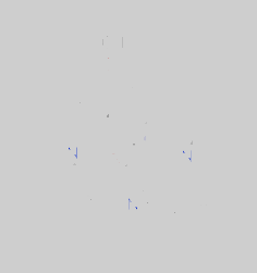 COCC/C=C(\B(c1ccccn1)c1ccccn1)c1ccccn1